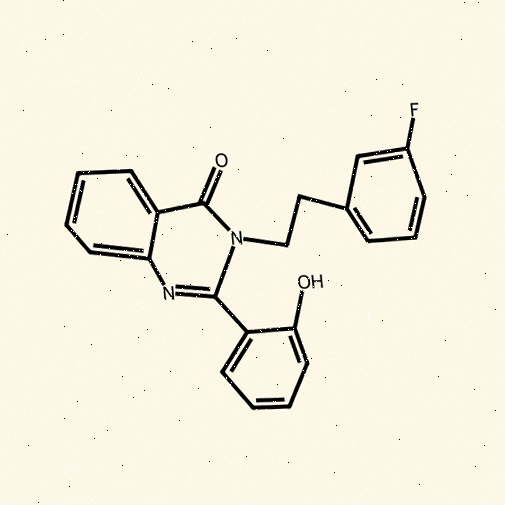 O=c1c2ccccc2nc(-c2ccccc2O)n1CCc1cccc(F)c1